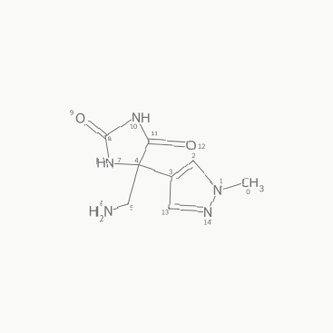 Cn1cc(C2(CN)NC(=O)NC2=O)cn1